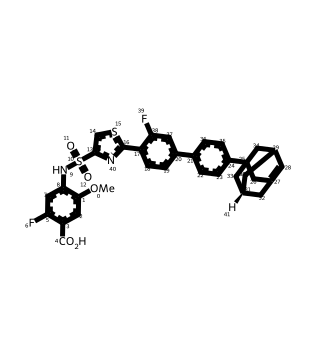 COc1cc(C(=O)O)c(F)cc1NS(=O)(=O)c1csc(-c2ccc(-c3ccc(C45CC6=CC(C[C@H](C6)C4)C5)cc3)cc2F)n1